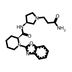 NC(=O)CCN1CC[C@H](NC(=O)[C@@H]2CCCCN2c2nc3ccccc3o2)C1